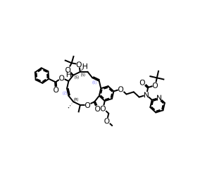 COCOc1cc(OCCCN(C(=O)OC(C)(C)C)c2ccccn2)cc2c1C(=O)OC(C)[C@H](C)/C=C\C(OC(=O)c1ccccc1)[C@H]1OC(C)(C)O[C@H]1C/C=C/2